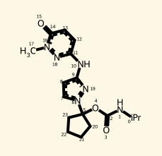 CC(C)NC(=O)OC1(n2ccc(Nc3ccc(=O)n(C)n3)n2)CCCC1